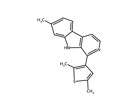 Cc1ccc2c(c1)[nH]c1c(-c3cc(C)sc3C)nccc12